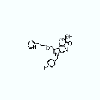 O=C1c2ncc3c(c(COCCCc4ccccn4)cn3Cc3ccc(F)cc3)c2CCN1O